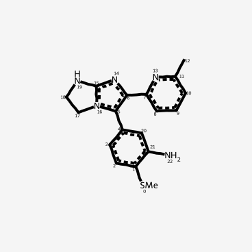 CSc1ccc(-c2c(-c3cccc(C)n3)nc3n2CCN3)cc1N